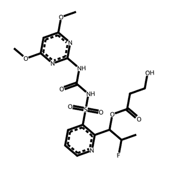 COc1cc(OC)nc(NC(=O)NS(=O)(=O)c2cccnc2C(OC(=O)CCO)C(C)F)n1